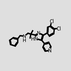 CC(C)(CNCc1ccccc1)c1nc(-c2ccc(Cl)c(Cl)c2)c(-c2ccncc2)[nH]1